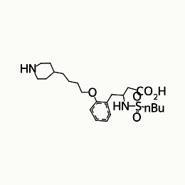 CCCCS(=O)(=O)NC(CC(=O)O)Cc1ccccc1OCCCCC1CCNCC1